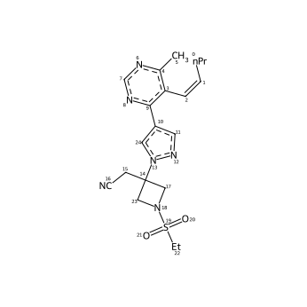 CCC/C=C\c1c(C)ncnc1-c1cnn(C2(CC#N)CN(S(=O)(=O)CC)C2)c1